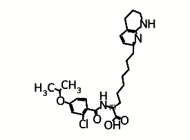 CC(C)Oc1ccc(C(=O)N[C@@H](CCCCCCCc2ccc3c(n2)NCCC3)C(=O)O)c(Cl)c1